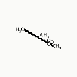 CCCCCCCCCCCCCCCC(=O)OC(=O)CC.[AlH3]